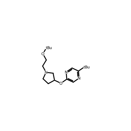 CC(C)(C)OCCN1CCC(Oc2cnc(C(C)(C)C)cn2)C1